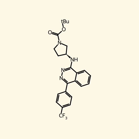 CC(C)(C)OC(=O)N1CC[C@H](Nc2nnc(-c3ccc(C(F)(F)F)cc3)c3ccccc23)C1